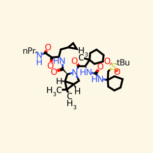 CCCNC(=O)C(=O)C(CC1CC1)NC(=O)[C@@H]1[C@@H]2[C@H](CN1C(=O)[C@@H](NC(=O)NC1(CS(=O)(=O)C(C)(C)C)CCCCC1)C1(C)CCCCC1)C2(C)C